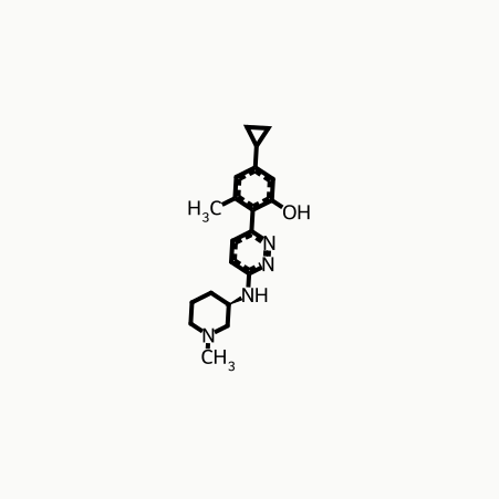 Cc1cc(C2CC2)cc(O)c1-c1ccc(N[C@@H]2CCCN(C)C2)nn1